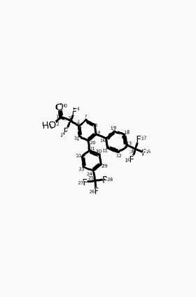 O=C(O)C(F)(F)c1ccc(-c2ccc(C(F)(F)F)cc2)c(-c2ccc(C(F)(F)F)cc2)c1